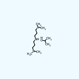 CC(C)O.CN(C)CCCNCCCN(C)C